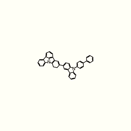 C1=C(c2ccc3c(c2)c2ccccc2n3-c2ccc(-c3ccccc3)cc2)CCc2c1c1cccc3c4ccccc4n2c13